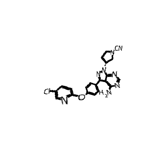 N#CN1CC[C@@H](n2nc(-c3ccc(Oc4ccc(Cl)cn4)cc3)c3c(N)ncnc32)C1